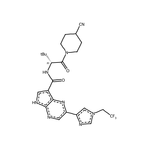 CC(C)(C)[C@@H](NC(=O)c1c[nH]c2ncc(-c3cn(CC(F)(F)F)cn3)nc12)C(=O)N1CCC(C#N)CC1